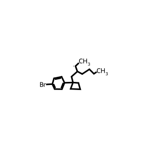 C[CH]C(CCCC)CC1(c2ccc(Br)cc2)CCC1